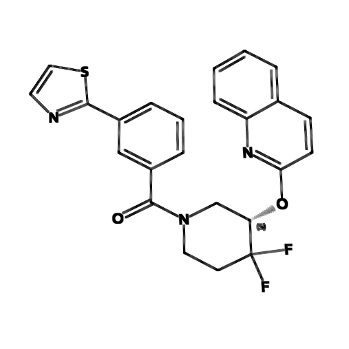 O=C(c1cccc(-c2nccs2)c1)N1CCC(F)(F)[C@@H](Oc2ccc3ccccc3n2)C1